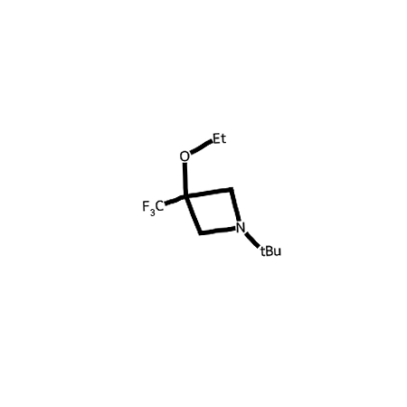 CCOC1(C(F)(F)F)CN(C(C)(C)C)C1